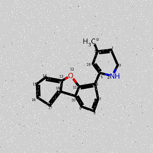 CC1=CCNC(c2cccc3c2oc2ccccc23)=C1